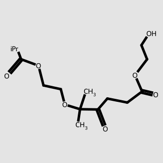 CC(C)C(=O)OCCOC(C)(C)C(=O)CCC(=O)OCCO